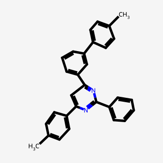 Cc1ccc(-c2cccc(-c3cc(-c4ccc(C)cc4)nc(-c4ccccc4)n3)c2)cc1